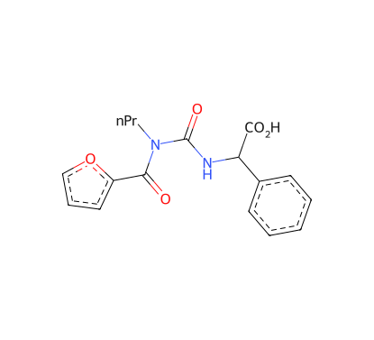 CCCN(C(=O)NC(C(=O)O)c1ccccc1)C(=O)c1ccco1